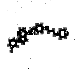 Ic1cccc(-n2ncc3c(NCc4ccc(OCCCN5CCOCC5)cc4)ncnc32)c1